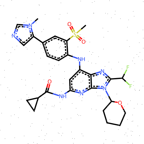 Cn1cncc1-c1ccc(Nc2cc(NC(=O)C3CC3)nc3c2nc(C(F)F)n3C2CCCCO2)c(S(C)(=O)=O)c1